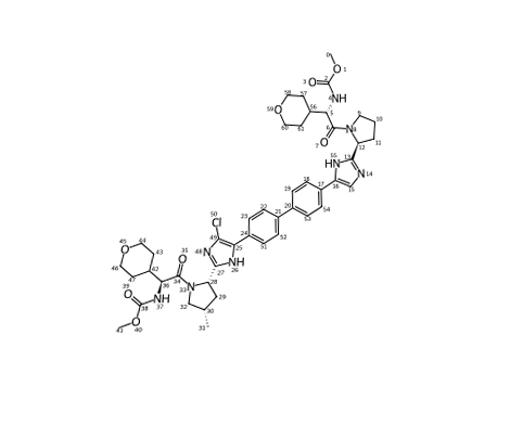 COC(=O)N[C@H](C(=O)N1CCC[C@H]1c1ncc(-c2ccc(-c3ccc(-c4[nH]c([C@@H]5C[C@H](C)CN5C(=O)[C@@H](NC(=O)OC)C5CCOCC5)nc4Cl)cc3)cc2)[nH]1)C1CCOCC1